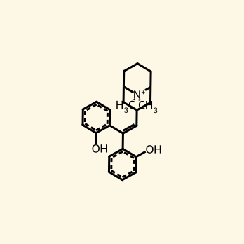 C[N+]1(C)C2CCCC1CC(C=C(c1ccccc1O)c1ccccc1O)C2